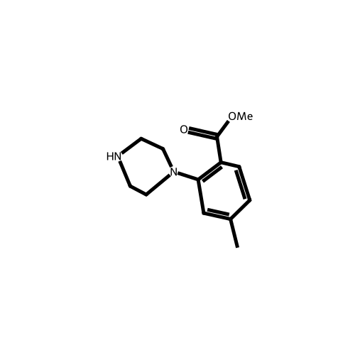 COC(=O)c1ccc(C)cc1N1CCNCC1